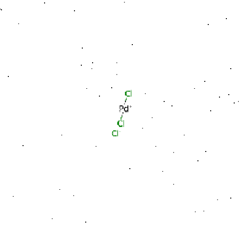 [Cl-].[Cl][Pd+][Cl]